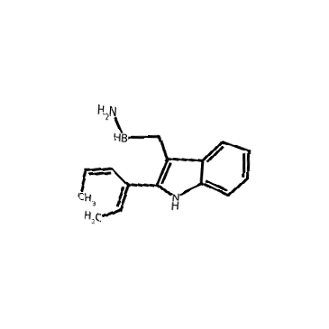 C/C=C\C(=C/C)c1[nH]c2ccccc2c1CBN